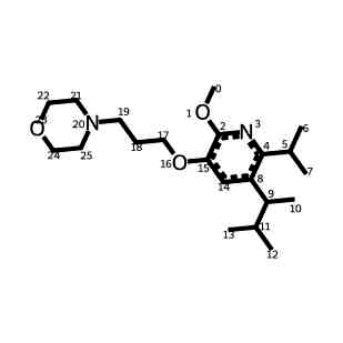 COc1nc(C(C)C)c(C(C)C(C)C)cc1OCCCN1CCOCC1